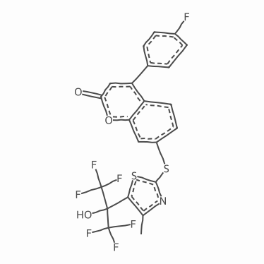 Cc1nc(Sc2ccc3c(-c4ccc(F)cc4)cc(=O)oc3c2)sc1C(O)(C(F)(F)F)C(F)(F)F